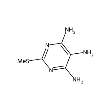 CSc1nc(N)c(N)c(N)n1